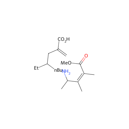 C=C(CC(CC)CCCC)C(=O)O.COC(=O)C(C)=C(C)C(C)N